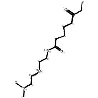 CCC(=O)CCCCC(=O)NCCNCCN(C)C